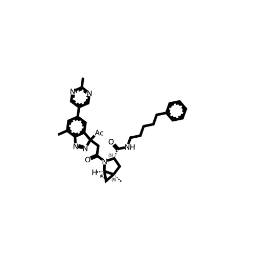 CC(=O)C1(CC(=O)N2[C@H](C(=O)NCCCCCc3ccccc3)C[C@@]3(C)C[C@@H]23)N=Nc2c(C)cc(-c3cnc(C)nc3)cc21